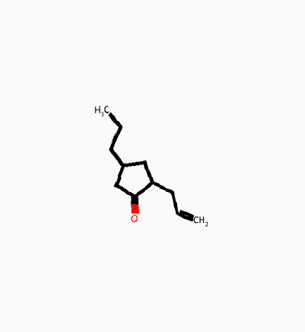 C=CCC1CC(CCC)CC1=O